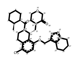 C[C@H]1CCCC[C@H]1C(=O)N1CCc2c(Cl)ccc(OCc3nnn4c3CCCC4)c2[C@H]1CN1CCOCC1=O